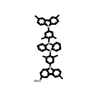 COc1ccc2c(c1)c1cc(C)ccc1n2-c1cc(C)c(B2c3ccccc3B(c3c(C)cc(-n4c5ccc(C)cc5c5cc(C)ccc54)cc3C)c3ccccc32)c(C)c1